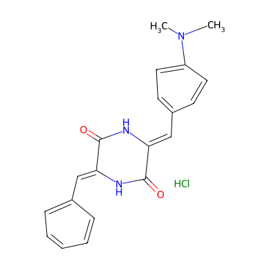 CN(C)c1ccc(C=c2[nH]c(=O)c(=Cc3ccccc3)[nH]c2=O)cc1.Cl